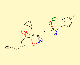 Cc1ccc(NC(=O)CCc2noc(C3(O)CC(CC(C)(C)C)C3)c2C2CC2)c(Cl)c1